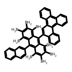 Bc1c(B)c(B)c2c(-c3cc4c5ccccc5c5ccccc5c4c4ccccc34)c3c(B)c(B)c(B)c(B)c3c(-c3ccc4ccccc4c3)c2c1B